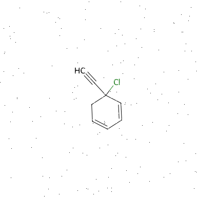 C#CC1(Cl)C=CC=CC1